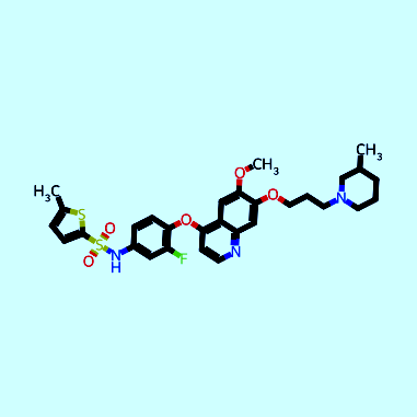 COc1cc2c(Oc3ccc(NS(=O)(=O)c4ccc(C)s4)cc3F)ccnc2cc1OCCCN1CCCC(C)C1